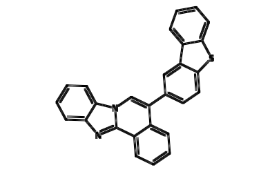 c1ccc2c(c1)nc1c3ccccc3c(-c3ccc4sc5ccccc5c4c3)cn21